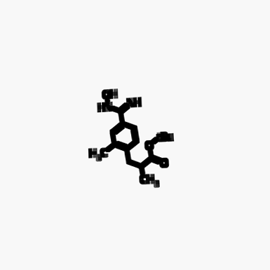 Cc1cc(C(=N)NO)ccc1CC(C)C(=O)OC(C)(C)C